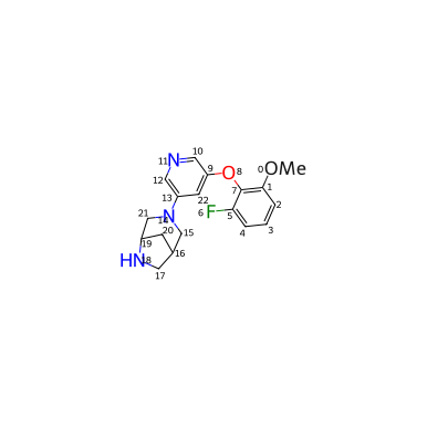 COc1cccc(F)c1Oc1cncc(N2CC3CNC(C3)C2)c1